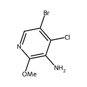 COc1ncc(Br)c(Cl)c1N